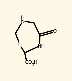 O=C1CNCCC(C(=O)O)N1